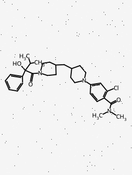 CC(C)C(O)(C(=O)N1CCC(CC2CCN(c3ccc(C(=O)N(C)C)c(Cl)c3)CC2)CC1)c1ccccc1